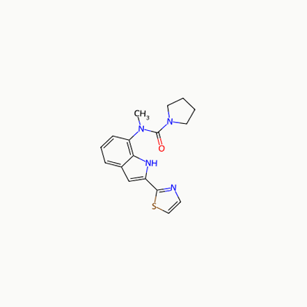 CN(C(=O)N1CCCC1)c1cccc2cc(-c3nccs3)[nH]c12